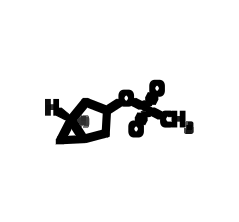 CS(=O)(=O)OC1CC2C[C@@H]2C1